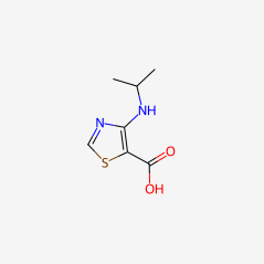 CC(C)Nc1ncsc1C(=O)O